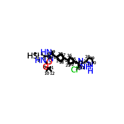 C[SiH](C)C[C@H](NC(=O)OC(C)(C)C)c1nc(-c2ccc(-c3ccc(-c4nc([C@@H]5CCCN5)[nH]c4Cl)cc3)cc2)c[nH]1